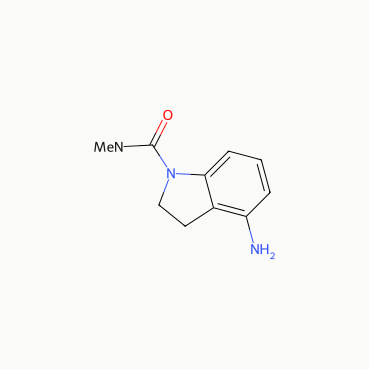 CNC(=O)N1CCc2c(N)cccc21